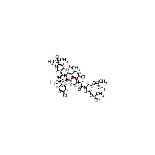 CCOc1cc(C(C)(C)C)ncc1/C(=N/C(C)(C)C1C=CC(Cl)=CC1)N(Cc1ccc(Cl)cc1)C(=O)N1CCN(CC(=O)N(CCOC(C)C)CCOC(C)C)CC1